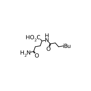 CCC(C)CCC(=O)NC(CCC(N)=O)C(=O)O